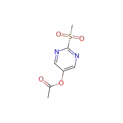 CC(=O)Oc1cnc(S(C)(=O)=O)nc1